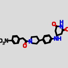 O=C1CC(Nc2ccc(C3CCN(C(=O)Cc4ccc([N+](=O)[O-])cc4)CC3)cc2)CC(=O)N1